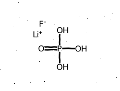 O=P(O)(O)O.[F-].[Li+]